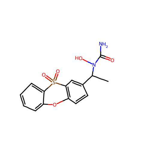 CC(c1ccc2c(c1)S(=O)(=O)c1ccccc1O2)N(O)C(N)=O